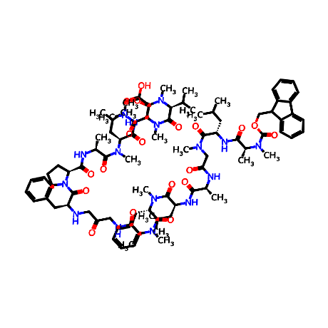 CC(C)C[C@H](NC(=O)[C@H](C)N(C)C(=O)OCC1c2ccccc2-c2ccccc21)C(=O)N(C)CC(=O)N[C@@H](C)C(=O)N[C@@H](CC(C)C)C(=O)N(C)[C@@H](Cc1ccccc1)C(=O)N(C)[C@@H](C)C(=O)NCC(=O)CN[C@@H](Cc1ccccc1)C(=O)N1CCC[C@H]1C(=O)N[C@@H](C)C(=O)N(C)[C@@H](CC(C)C)C(=O)NCC(=O)N(C)[C@H](C(=O)N(C)[C@H](CC(=O)O)C(=O)N(C)C)C(C)C